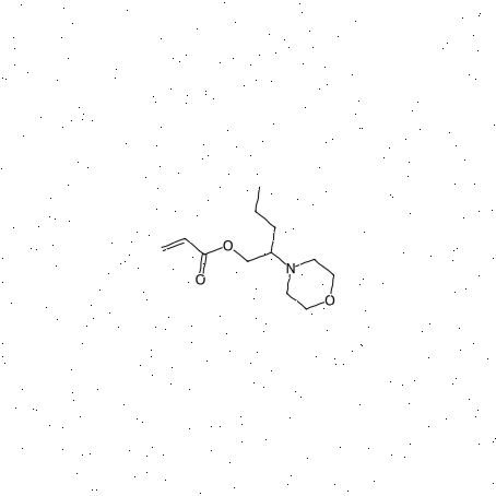 C=CC(=O)OCC(CCC)N1CCOCC1